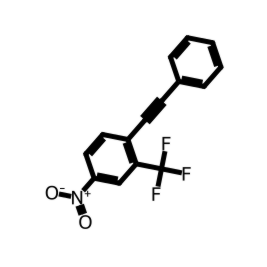 O=[N+]([O-])c1ccc(C#Cc2ccccc2)c(C(F)(F)F)c1